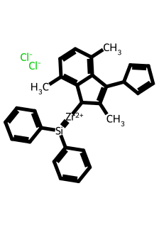 CC1=C(C2C=CC=C2)c2c(C)ccc(C)c2[CH]1[Zr+2]=[Si](c1ccccc1)c1ccccc1.[Cl-].[Cl-]